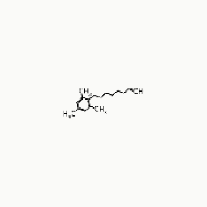 [CH]=CCCCCCCc1c(C)cc(C)cc1C